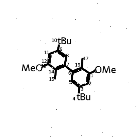 COc1cc(C(C)(C)C)[c]c(-c2[c]c(C(C)(C)C)cc(OC)c2C)c1C